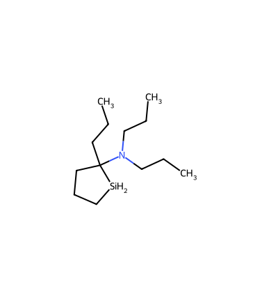 CCCN(CCC)C1(CCC)CCC[SiH2]1